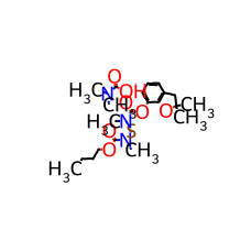 CCCCOC(=O)N(C)SN(C)C(=O)Oc1cccc2c1OC(C)(C)C2.CN(C)C(=O)O